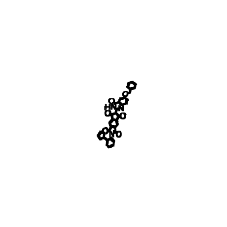 O=C1c2cc3c(cc2C(=O)C1c1nc2ccc(OCc4ccccc4)cc2c(=O)[nH]1)C(=O)N(c1ccccc1C1=CC=CC1)C3=O